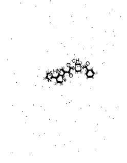 CC1CN(C(=O)c2ccccc2)CCN1C(=O)C(=O)c1c[nH]c2c(-c3nccs3)ccnc12